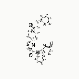 O=C(Nc1ccccc1-c1ccc(Cl)cc1)c1csc(C2CCN(C(=O)CCc3ccccc3)CC2)n1